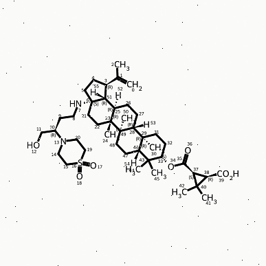 C=C(C)[C@@H]1CC[C@]2(NCC[C@H](CO)N3CCS(=O)(=O)CC3)CC[C@]3(C)[C@H](CC[C@@H]4[C@@]5(C)CC[C@H](OC(=O)[C@H]6[C@@H](C(=O)O)C6(C)C)C(C)(C)[C@@H]5CC[C@]43C)[C@@H]12